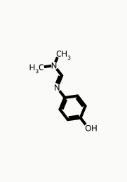 CN(C)/C=N/c1ccc(O)cc1